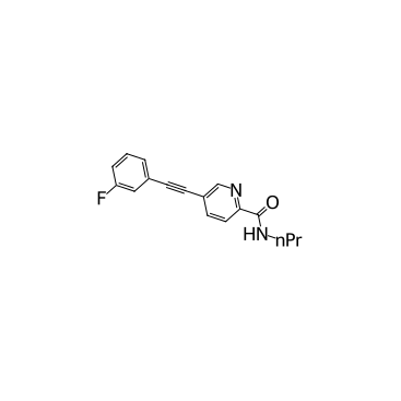 CCCNC(=O)c1ccc(C#Cc2cccc(F)c2)cn1